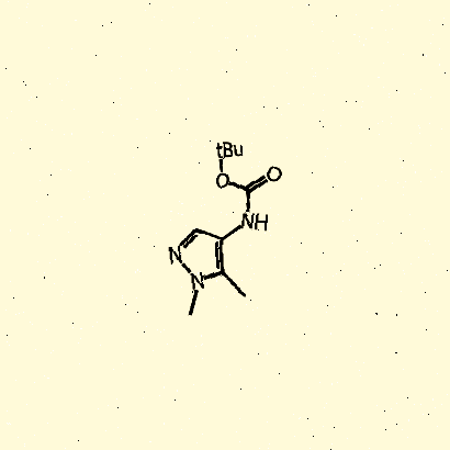 Cc1c(NC(=O)OC(C)(C)C)cnn1C